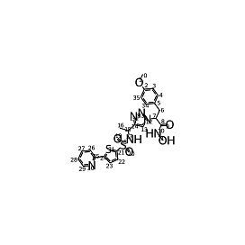 COc1ccc(CC(C(=O)NO)n2cc(C(C)NS(=O)(=O)c3ccc(-c4ccccn4)s3)nn2)cc1